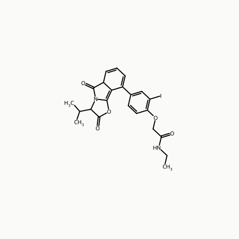 CCNC(=O)COc1ccc(C2=CC=CC3C(=O)N4C(=C23)OC(=O)C4C(C)C)cc1I